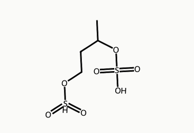 CC(CCO[SH](=O)=O)OS(=O)(=O)O